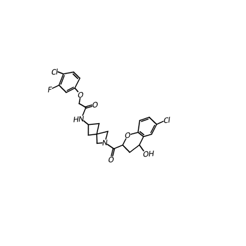 O=C(COc1ccc(Cl)c(F)c1)NC1CC2(C1)CN(C(=O)C1CC(O)c3cc(Cl)ccc3O1)C2